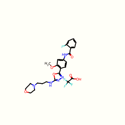 COc1cc(NC(=O)c2ccccc2F)ccc1-c1nnc(NCCCN2CCOCC2)o1.O=C(O)C(F)(F)F